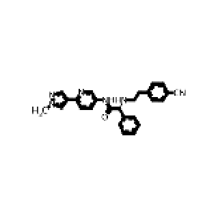 Cn1cc(-c2ccc(NC(=O)[C@@H](NCCc3ccc(C#N)cc3)c3ccccc3)cn2)cn1